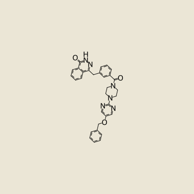 O=C(c1cccc(Cc2n[nH]c(=O)c3ccccc23)c1)N1CCN(c2ncc(OCc3ccccc3)cn2)CC1